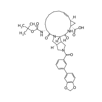 CC(C)(C)OC(=O)N[C@@H]1CCCCC/C=C\[C@H]2C[C@@]2(C(=O)O)NC(=O)[C@@H]2[C@H]3CN(C(=O)c4cccc(-c5ccc6c(c5)OCO6)c4)C[C@H]3CN2C1=O